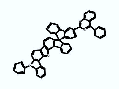 c1ccc(-c2nc(-c3ccc4c(c3)-c3ccccc3C43c4ccccc4-c4c3ccc3c4oc4c3ccc3c4c4ccccc4n3-c3ccccc3)nc3ccccc23)cc1